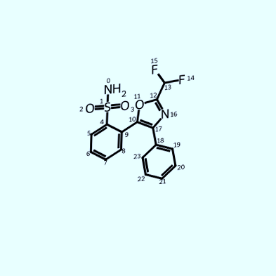 NS(=O)(=O)c1ccccc1-c1oc(C(F)F)nc1-c1ccccc1